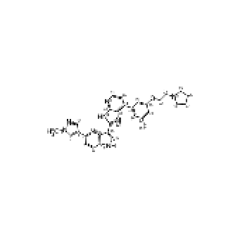 Cn1cc(-c2ccc3[nH]nc(-c4nc5c(-c6cc(F)cc(OCCN7CCCC7)c6)ccnc5[nH]4)c3n2)cn1